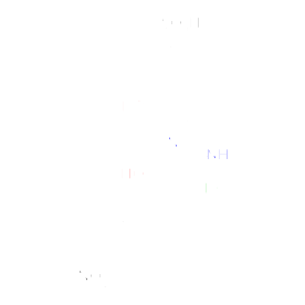 Cl.O=[N+]([O-])c1cccc(-c2cccc(-c3nc4c(ccc5cc(S(=O)(=O)O)cc(O)c54)[nH]3)c2O)c1